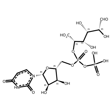 O=C[C@H](O)[C@@H](O)[C@H](O)[C@H](OP(=O)(OC[C@H]1O[C@@H](n2ccc(=O)[nH]c2=O)[C@H](O)[C@@H]1O)OP(=O)(O)O)C(=O)O